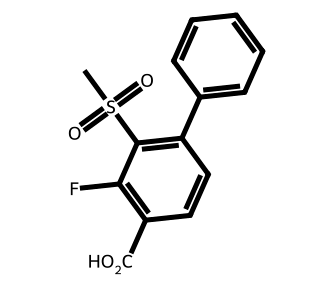 CS(=O)(=O)c1c(-c2ccccc2)ccc(C(=O)O)c1F